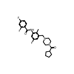 Cc1c(CN2CCN(C(=O)C3CCCC3)CC2)cc(F)cc1NC(=O)c1ccc(F)cc1F